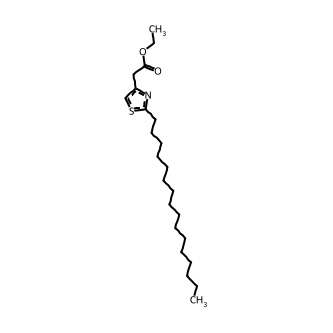 CCCCCCCCCCCCCCCCc1nc(CC(=O)OCC)cs1